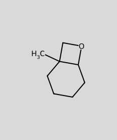 CC12CCCCC1OC2